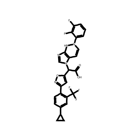 O=C(O)C(c1cc(-c2ccc(C3CC3)cc2C(F)(F)F)no1)n1cnc2c1C=CN(c1cccc(F)c1F)N2